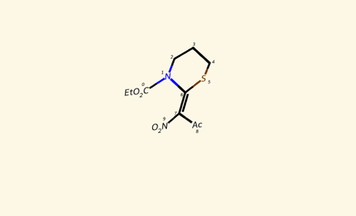 CCOC(=O)N1CCCS/C1=C(\C(C)=O)[N+](=O)[O-]